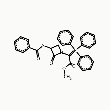 COC(=O)C(N1CC(SC(=O)c2ccccc2)C1=O)=P(c1ccccc1)(c1ccccc1)c1ccccc1